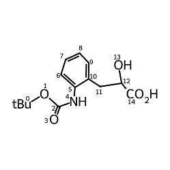 CC(C)(C)OC(=O)Nc1ccccc1CC(O)C(=O)O